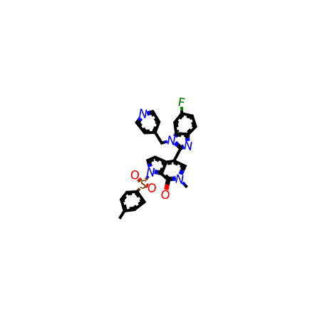 Cc1ccc(S(=O)(=O)n2ccc3c(-c4nc5ccc(F)cc5n4Cc4ccncc4)cn(C)c(=O)c32)cc1